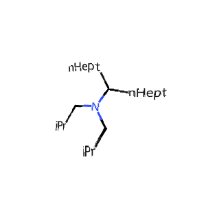 CCCCCCCC(CCCCCCC)N(CC(C)C)CC(C)C